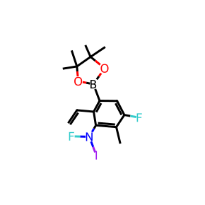 C=Cc1c(B2OC(C)(C)C(C)(C)O2)cc(F)c(C)c1N(F)I